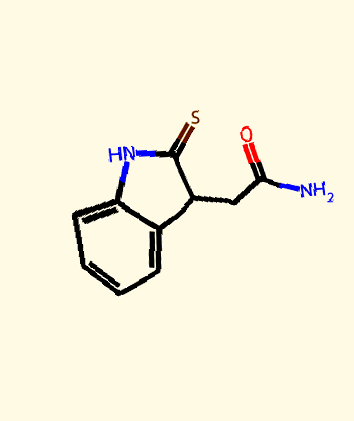 NC(=O)CC1C(=S)Nc2ccccc21